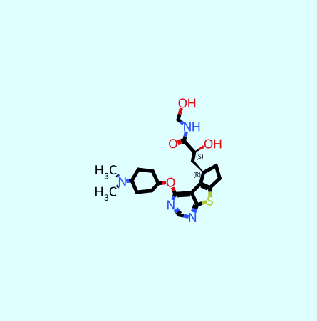 CN(C)C1CCC(Oc2ncnc3sc4c(c23)[C@@H](C[C@H](O)C(=O)NCO)CC4)CC1